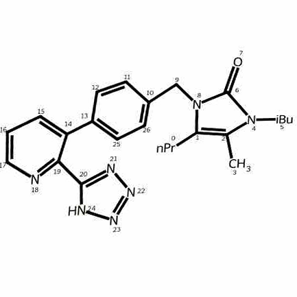 CCCc1c(C)n(C(C)CC)c(=O)n1Cc1ccc(-c2cccnc2-c2nnn[nH]2)cc1